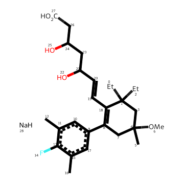 CCC1(CC)CC(C)(OC)CC(c2cc(C)c(F)c(C)c2)=C1C=CC(O)CC(O)CC(=O)O.[NaH]